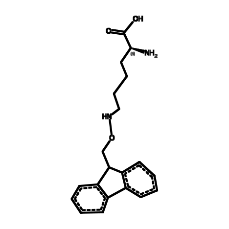 N[C@@H](CCCCNOCC1c2ccccc2-c2ccccc21)C(=O)O